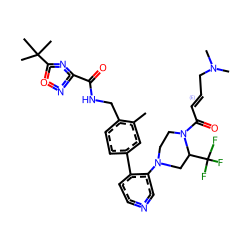 Cc1cc(-c2ccncc2N2CCN(C(=O)/C=C/CN(C)C)C(C(F)(F)F)C2)ccc1CNC(=O)c1noc(C(C)(C)C)n1